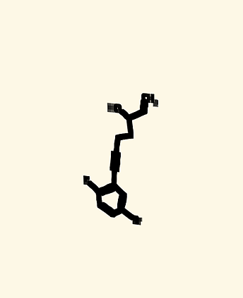 C=CC(O)CCC#Cc1cc(Br)ccc1F